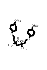 COc1ccc(OCCC(C)(C)CC(C)(C)CCOc2ccc(OC)cc2)cc1